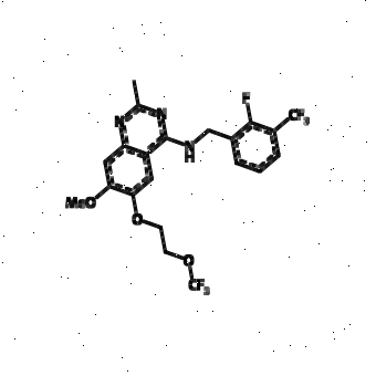 COc1cc2nc(C)nc(NCc3cccc(C(F)(F)F)c3F)c2cc1OCCOC(F)(F)F